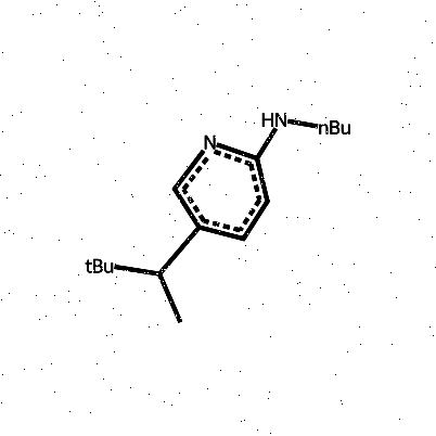 CCCCNc1ccc(C(C)C(C)(C)C)cn1